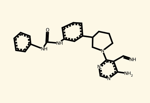 N=Cc1c(N)ncnc1N1CCCC(c2cccc(NC(=O)Nc3ccccc3)c2)C1